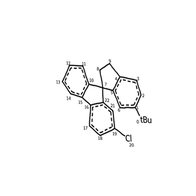 CC(C)(C)c1ccc2c(c1)C1(CC2)c2ccccc2-c2ccc(Cl)cc21